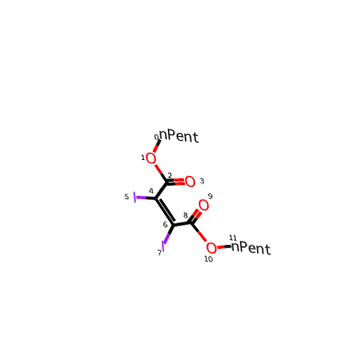 CCCCCOC(=O)/C(I)=C(/I)C(=O)OCCCCC